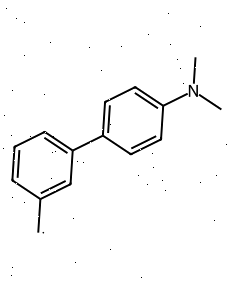 [CH2]c1cccc(-c2ccc(N(C)C)cc2)c1